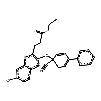 CCOC(=O)CCc1nc2cc(Cl)ccc2nc1OC1(C#N)C=CC(c2ccccc2)=CC1